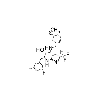 COc1cccc(CNC[C@@H](O)[C@H](Cc2cc(F)cc(F)c2)Nc2ccc(C(F)(F)F)cn2)c1